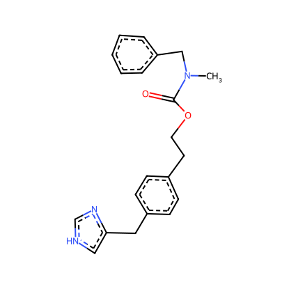 CN(Cc1ccccc1)C(=O)OCCc1ccc(Cc2c[nH]cn2)cc1